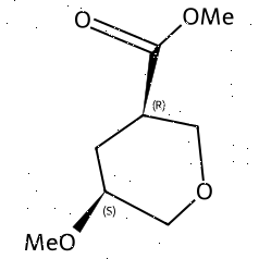 COC(=O)[C@H]1COC[C@@H](OC)C1